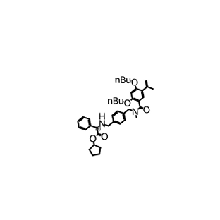 C=C(C)c1cc(C(=O)N(C)Cc2ccc(CN[C@H](C(=O)OC3CCCC3)c3ccccc3)cc2)c(OCCCC)cc1OCCCC